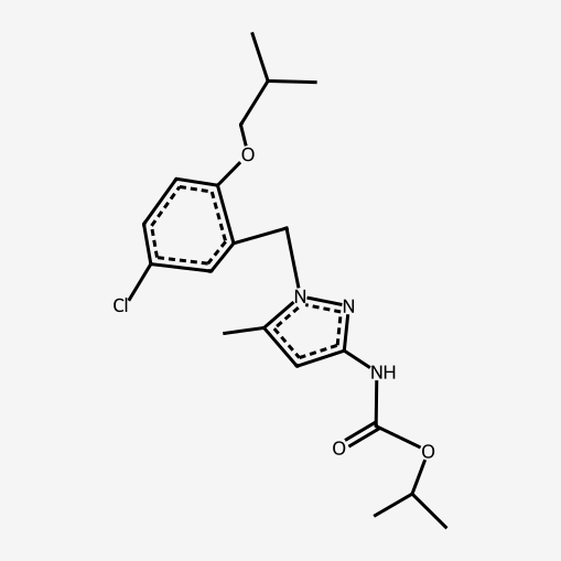 Cc1cc(NC(=O)OC(C)C)nn1Cc1cc(Cl)ccc1OCC(C)C